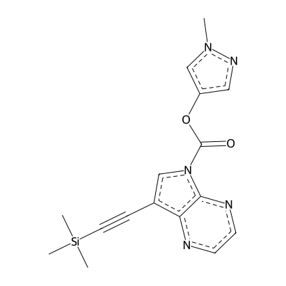 Cn1cc(OC(=O)n2cc(C#C[Si](C)(C)C)c3nccnc32)cn1